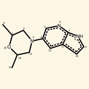 CC1CN(c2cnc3[nH]ccc3c2)CC(C)O1